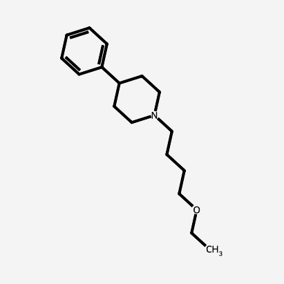 CCOCCCCN1CCC(c2ccccc2)CC1